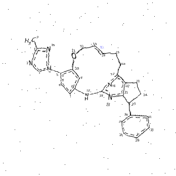 Cc1ncn(-c2ccc3cc2OC/C=C/CCc2nc(nc4c2CCC4c2ccccc2)N3)n1